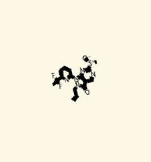 C=CCn1c(=O)c2cnc([S+](C)[O-])nc2n1-c1cccc(C(C)(F)F)n1